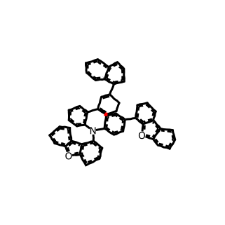 C1=C(c2ccccc2N(c2ccc(-c3cccc4c3oc3ccccc34)cc2)c2cccc3oc4ccccc4c23)C=C(c2cccc3ccccc23)CC1